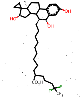 C[C@]12CCC3c4ccc(O)cc4[C@@H](O)[C@@H](CCCCCCCCCC(CCCC(F)(F)C(F)(F)F)C(=O)O)C3C1C[C@@H](O)C21CC1